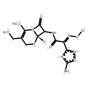 CCON=C(C(=O)NC1C(=O)N2C(C(=O)O)=C(COC(C)=O)CS[C@@H]12)c1nsc(N)n1